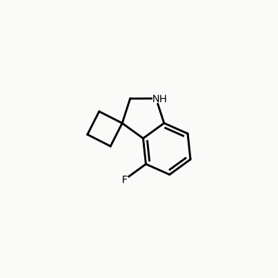 Fc1cccc2c1C1(CCC1)CN2